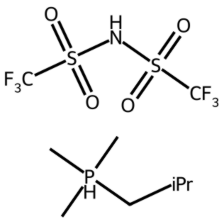 CC(C)C[PH](C)(C)C.O=S(=O)(NS(=O)(=O)C(F)(F)F)C(F)(F)F